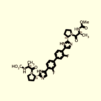 COC(=O)N[C@@H](C)C(=O)N1CCC[C@H]1c1ncc(-c2ccc(-c3ccc(-c4cnc([C@@H]5CCCN5C(=O)[C@H](C)NC(=O)O)[nH]4)c(F)c3)cc2F)[nH]1